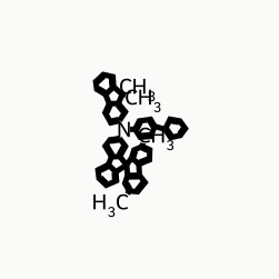 Cc1ccc2c(c1)C1(c3ccccc3-c3ccc(N(c4ccc(-c5ccccc5)cc4)c4ccc5c(c4)C(C)(C)c4ccccc4-5)cc31)c1cc(C)ccc1-2